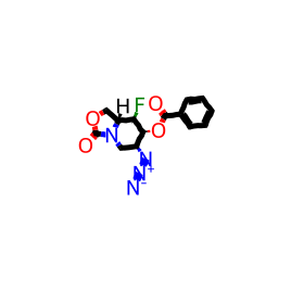 [N-]=[N+]=N[C@H]1CN2C(=O)OC[C@@H]2[C@@H](F)[C@@H]1OC(=O)c1ccccc1